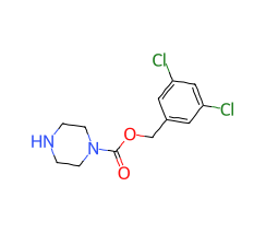 O=C(OCc1cc(Cl)cc(Cl)c1)N1CCNCC1